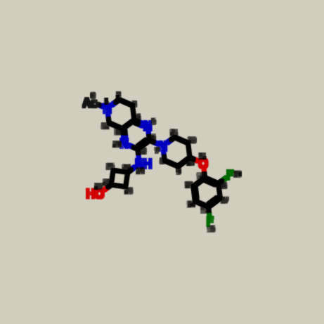 CC(=O)N1CCc2nc(N3CCC(Oc4ccc(F)cc4F)CC3)c(NC3CC(O)C3)nc2C1